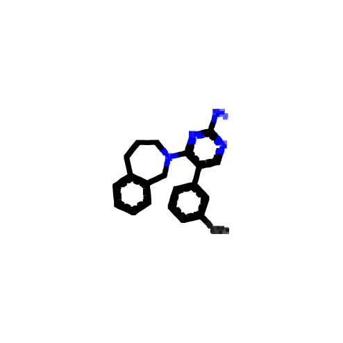 COc1cccc(-c2cnc(N)nc2N2CCCc3ccccc3C2)c1